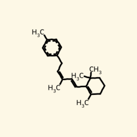 CC(=CCc1ccc(C)cc1)/C=C/C1=C(C)CCCC1(C)C